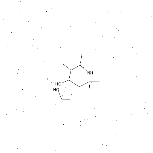 CC1NC(C)(C)CC(O)C1C.CCO